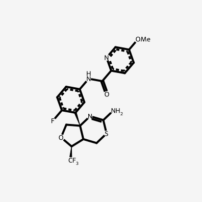 COc1ccc(C(=O)Nc2ccc(F)c([C@]34CO[C@H](C(F)(F)F)C3CSC(N)=N4)c2)nc1